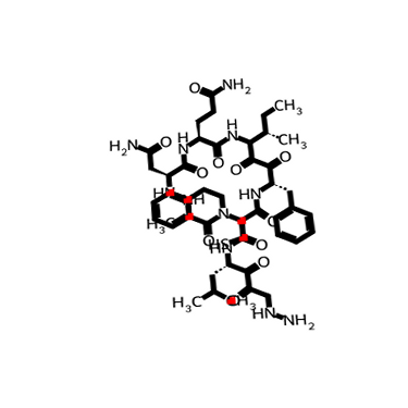 CC[C@H](C)C(NC(=O)[C@H](CCC(N)=O)NC(=O)[C@H](CC(N)=O)NN[C@@H](C)C(=O)N(CCc1ccccc1)CC(=O)N[C@@H](CC(C)C)C(=O)C(=O)CNN)C(=O)C(=O)[C@H](Cc1ccccc1)NC(=O)CCS